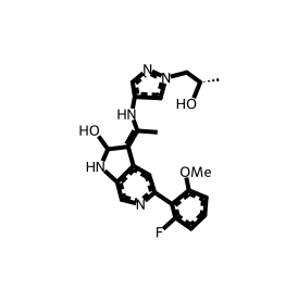 COc1cccc(F)c1-c1cc2c(cn1)NC(O)/C2=C(/C)Nc1cnn(C[C@H](C)O)c1